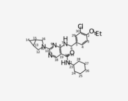 CCOc1ccc(CNc2nc(N3CC4CC4C3)ncc2C(=O)NC2CCCCC2)cc1Cl